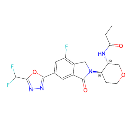 CCC(=O)N[C@@H]1COCC[C@H]1N1Cc2c(F)cc(-c3nnc(C(F)F)o3)cc2C1=O